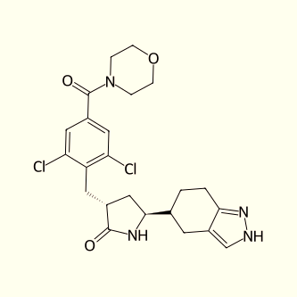 O=C1N[C@H](C2CCc3n[nH]cc3C2)C[C@H]1Cc1c(Cl)cc(C(=O)N2CCOCC2)cc1Cl